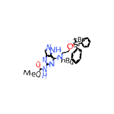 CCCCN(CCO[Si](c1ccccc1)(c1ccccc1)C(C)(C)C)c1nc(NC(=O)OC)nc2cn[nH]c12